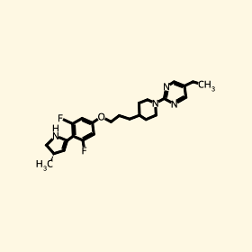 CCc1cnc(N2CCC(CCCOc3cc(F)c(C4=C[C@H](C)CN4)c(F)c3)CC2)nc1